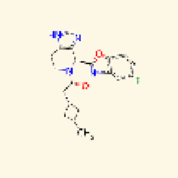 CC1CC(CC(=O)N2CCc3[nH]cnc3[C@H]2c2nc3cc(F)ccc3o2)C1